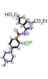 CCOC(=O)n1nc(NC(=O)c2ccc(N3CCN(C)CC3)cc2)c2cc(C(=O)O)sc21.Cl